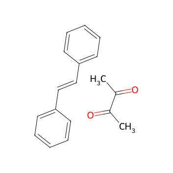 C(=Cc1ccccc1)c1ccccc1.CC(=O)C(C)=O